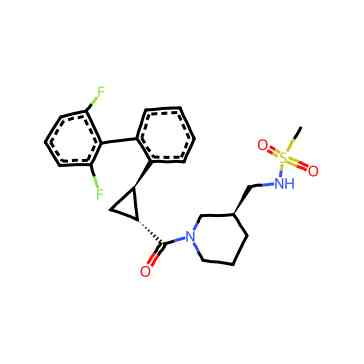 CS(=O)(=O)NC[C@H]1CCCN(C(=O)[C@@H]2C[C@H]2c2ccccc2-c2c(F)cccc2F)C1